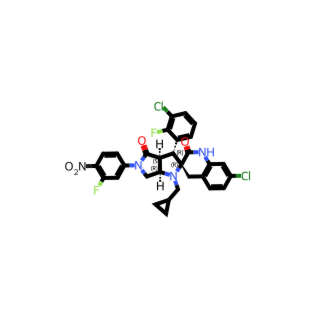 O=C1[C@@H]2[C@H](CN1c1ccc([N+](=O)[O-])c(F)c1)N(CC1CC1)[C@]1(Cc3ccc(Cl)cc3NC1=O)[C@H]2c1cccc(Cl)c1F